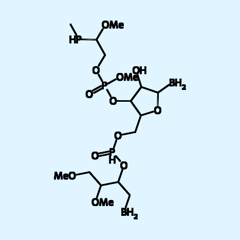 BCC(O[PH](=O)OCC1OC(B)C(O)C1OP(=O)(OC)OCC(OC)PC)C(COC)OC